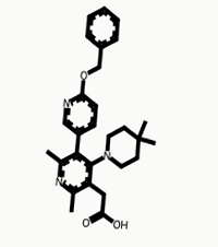 Cc1nc(C)c(-c2ccc(OCc3ccccc3)nc2)c(N2CCC(C)(C)CC2)c1CC(=O)O